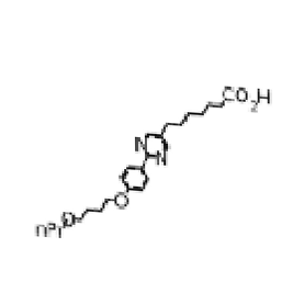 CCCOCCCCOc1ccc(-c2ncc(CCCCCCC(=O)O)cn2)cc1